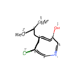 COC(OC)c1c(O)cncc1Cl